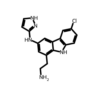 NCCc1cc(Nc2cc[nH]n2)cc2c1[nH]c1ccc(Cl)cc12